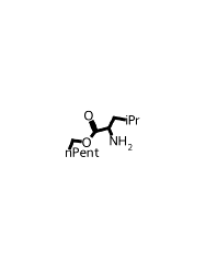 CCCCCCOC(=O)C(N)CC(C)C